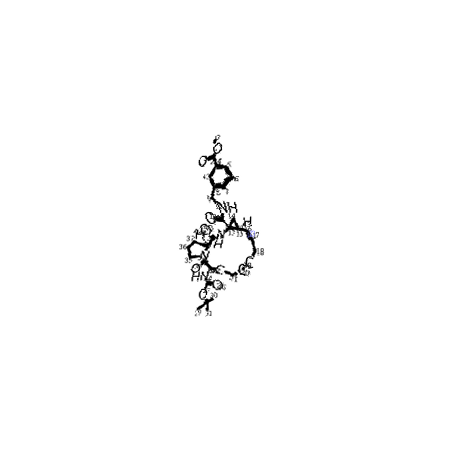 COC(=O)c1cccc(CNC(=O)[C@@]23C[C@H]2/C=C\CCCCC[C@H](NC(=O)OC(C)(C)C)C(=O)N2CCC[C@H]2C(=O)N3)c1